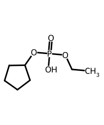 CCOP(=O)(O)OC1CCCC1